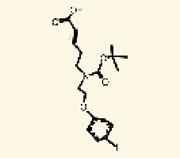 CC(C)(C)OC(=O)N(CC/C=C/C(=O)O)CCOc1ccc(I)cc1